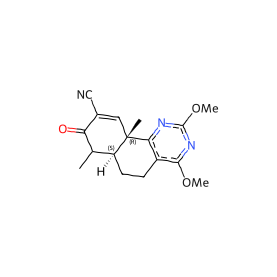 COc1nc(OC)c2c(n1)[C@@]1(C)C=C(C#N)C(=O)C(C)[C@@H]1CC2